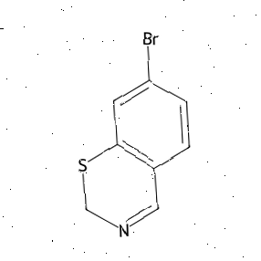 Brc1ccc2c(c1)SCN=C2